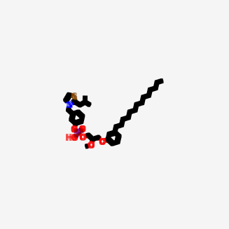 CCCCCCCCCCCCCCc1cccc(OCC(COP(=O)(O)Oc2cccc(C[n+]3ccsc3CC(C)C)c2)OC)c1